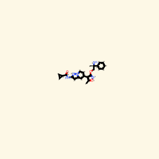 Cc1onc(OC[C@](C)(N)c2ccccc2)c1-c1ccn2nc(NC(=O)C3CC3)cc2c1